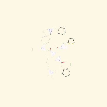 CN(C)CCCCC[C@H](C(=O)N1CCN(C(=O)Oc2ccccc2Cl)C[C@H]1C(=O)NCc1cccs1)N(C)C1CCC2(CC1)CCN(Cc1ccccc1)C2